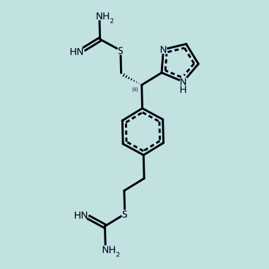 N=C(N)SCCc1ccc([C@H](CSC(=N)N)c2ncc[nH]2)cc1